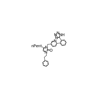 CCCCCc1cn(CCc2ccccc2)c(=O)n1Cc1ccc(-c2ccccc2-c2nnn[nH]2)nc1